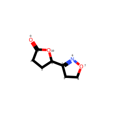 O=C1CCC(C2=NOCC2)O1